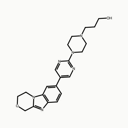 OCCCN1CCN(c2ncc(-c3ccc4nc5n(c4c3)CCOC5)cn2)CC1